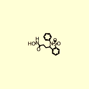 O=C(CCC1c2ccccc2S(=O)(=O)N1c1ccccc1)NO